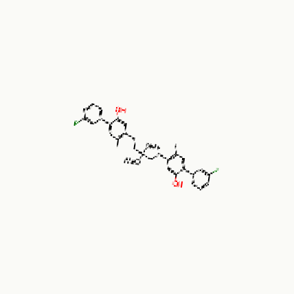 COC(CCc1cc(O)c(-c2cccc(F)c2)cc1C)(CCc1cc(O)c(-c2cccc(F)c2)cc1C)OC